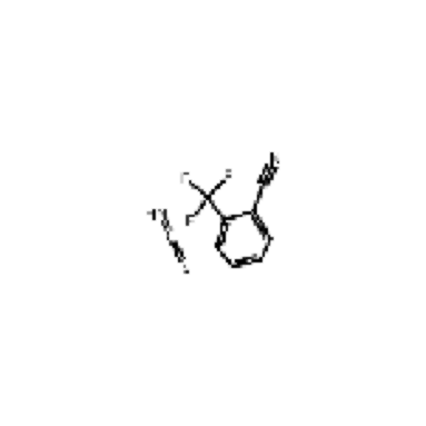 N#Cc1ccccc1C(F)(F)F.N=C=S